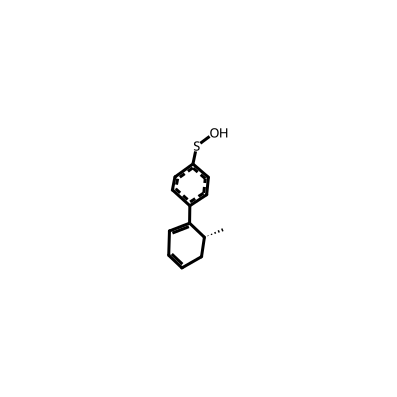 C[C@@H]1CC=CC=C1c1ccc(SO)cc1